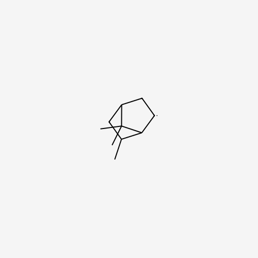 CC1CC2C[CH]C1C2(C)C